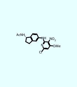 COc1cc(Cl)nc(Nc2ccc3c(c2)CC[C@@H]3NC(C)=O)c1[N+](=O)[O-]